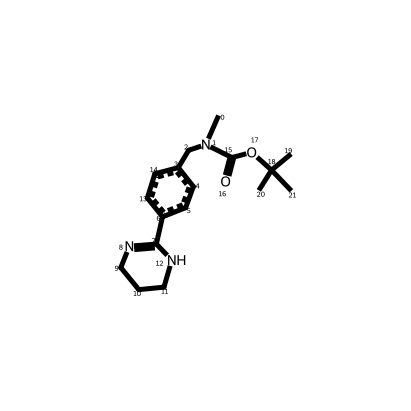 CN(Cc1ccc(C2=NCCCN2)cc1)C(=O)OC(C)(C)C